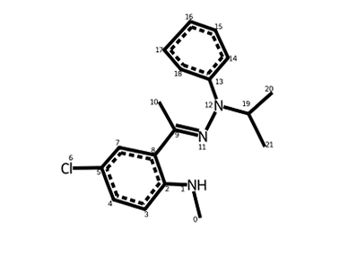 CNc1ccc(Cl)cc1/C(C)=N/N(c1ccccc1)C(C)C